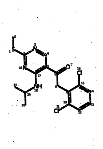 CSc1ncc(C(=O)Cc2c(Cl)cccc2Cl)c(NC(C)C)n1